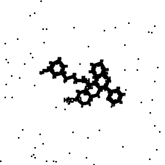 CN1CCN(Cc2c(-c3ccccc3)nc3ccccc3c2C(=O)NCCCc2cccc(F)c2)CC1